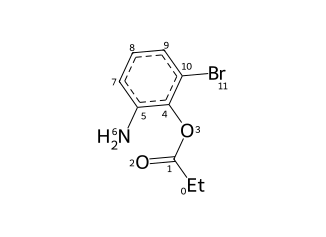 CCC(=O)Oc1c(N)cccc1Br